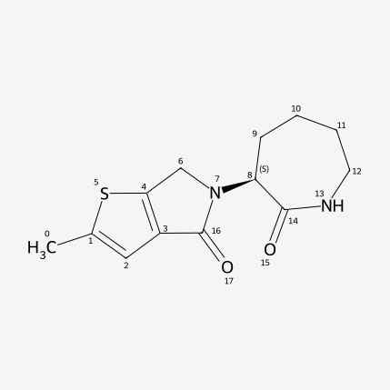 Cc1cc2c(s1)CN([C@H]1CCCCNC1=O)C2=O